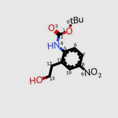 CC(C)(C)OC(=O)Nc1ccc([N+](=O)[O-])cc1CCO